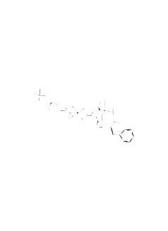 CC/C(=C\c1ccccc1)[C@@H]1C[C@H]1N(C(=O)C(F)(F)F)C1CC2(C1)CN(CCC(=O)OC(C)(C)C)C2